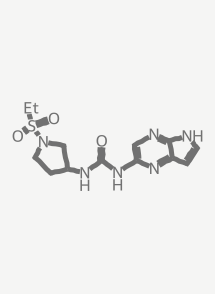 CCS(=O)(=O)N1CCC(NC(=O)Nc2cnc3[nH]ccc3n2)C1